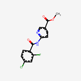 COC(=O)c1ccc(NC(=O)c2ccc(Cl)cc2F)nc1